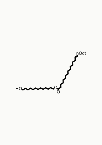 CCCCCCCCC=CCCCCCCCCCCCCCC(=O)OCCCCCCCCCCCCCO